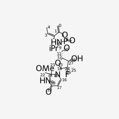 C=C(/C=C\C)OP(=O)(NC(C)C)OC[C@H]1O[C@@H](N2C=CC(=O)NC2(C)OC)[C@](C)(F)[C@@H]1O